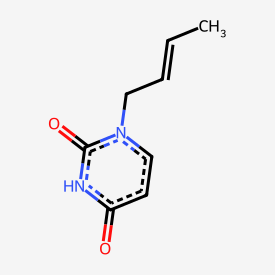 CC=CCn1ccc(=O)[nH]c1=O